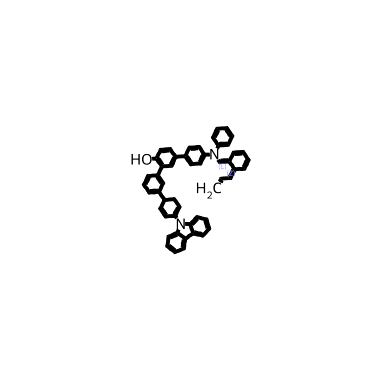 C=C/C=c1/cccc/c1=C\N(c1ccccc1)c1ccc(-c2ccc(O)c(-c3cccc(C4C=CC(n5c6ccccc6c6ccccc65)=CC4)c3)c2)cc1